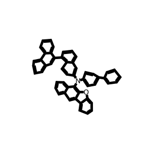 c1ccc(-c2ccc(N(c3ccc4c(-c5cc6ccccc6c6ccccc56)cccc4c3)c3c4ccccc4cc4c3oc3ccccc34)cc2)cc1